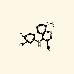 N#Cc1cnc2c(N)cccc2c1Nc1ccc(F)c(Cl)c1